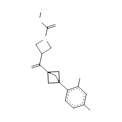 CC(C)(C)OC(=O)N1CC(C(=O)C23CC(c4ccc(Cl)cc4F)(C2)C3)C1